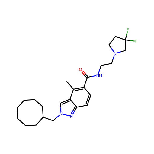 Cc1c(C(=O)NCCN2CCC(F)(F)C2)ccc2nn(CC3CCCCCCC3)cc12